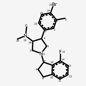 Cc1cc(C2CN(C3CCc4cccc(F)c43)CC2N(C)C)ccc1Br